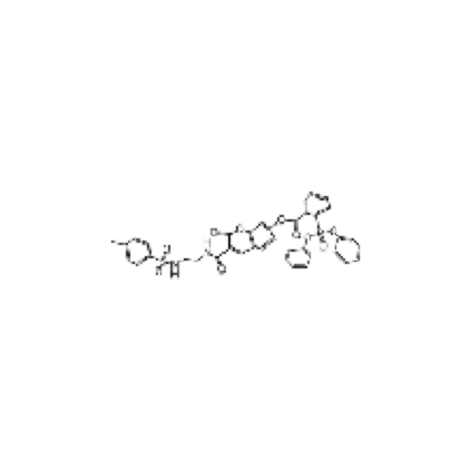 Cc1ccc(S(=O)(=O)NCCNC(=O)c2cc3ccc(OC(=O)c4ccccc4P(=O)(Oc4ccccc4)Oc4ccccc4)cc3oc2=O)cc1